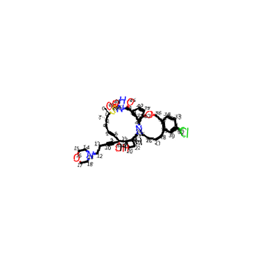 C[C@@H]1[C@@H](C)C/C=C/[C@](O)(C#CCCN2CCOCC2)[C@@H]2CC[C@H]2CN2CCCCc3cc(Cl)ccc3COc3ccc(cc32)C(=O)NS1(=O)=O